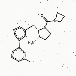 N[C@H]1CCN(C(=O)N2CCC2)[C@H]1Cc1cccc(-c2cccc(F)c2)c1